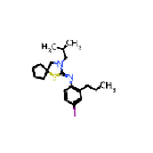 CCCc1cc(I)ccc1N=C1SC2(CCCC2)CN1CC(C)C